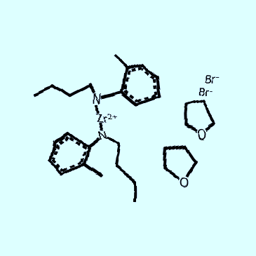 C1CCOC1.C1CCOC1.CCCC[N]([Zr+2][N](CCCC)c1ccccc1C)c1ccccc1C.[Br-].[Br-]